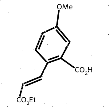 CCOC(=O)/C=C/c1ccc(OC)cc1C(=O)O